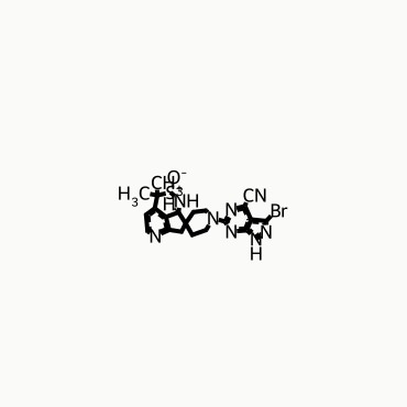 CC1(C)c2ccnc3c2[C@@H](N[S@+]1[O-])C1(CCN(c2nc(C#N)c4c(Br)n[nH]c4n2)CC1)C3